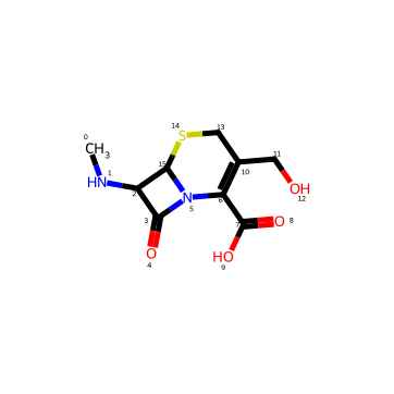 CNC1C(=O)N2C(C(=O)O)=C(CO)CSC12